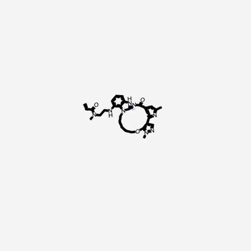 C=CC(=O)N(C)CCNc1cccc2c1N1CCCCCOc3c(cnn3C)-c3cc(cc(C)n3)C(=O)/N=C/1N2